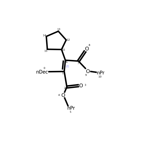 CCCCCCCCCC/C(C(=O)OCCC)=C(/C(=O)OCCC)C1CCCC1